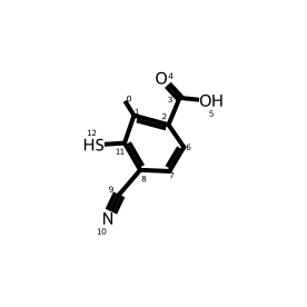 Cc1c(C(=O)O)ccc(C#N)c1S